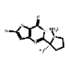 C[C@@]1(c2nc3cc(Br)sc3c(=O)[nH]2)CCCN1C(=O)O